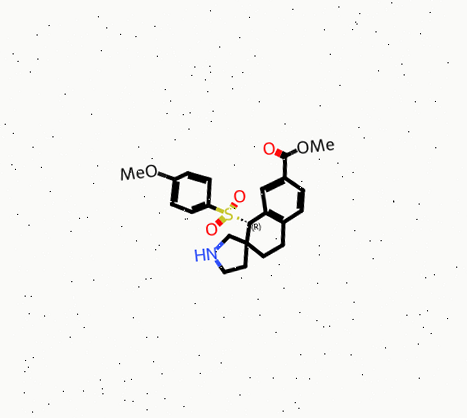 COC(=O)c1ccc2c(c1)[C@@H](S(=O)(=O)c1ccc(OC)cc1)C1(CCNC1)CC2